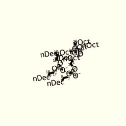 CCCCCCCCCCCCOP([O-])OCCCCCCCCCCCC.CCCCCCCCCCCCOP([O-])OCCCCCCCCCCCC.CCCCCCCC[O][Ti+2]([O]CCCCCCCC)([O]CCCCCCCC)[O]CCCCCCCC